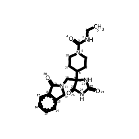 CCNC(=O)N1CCC(C2(CN3Cc4ccccc4C3=O)NC(=O)NC2=O)CC1